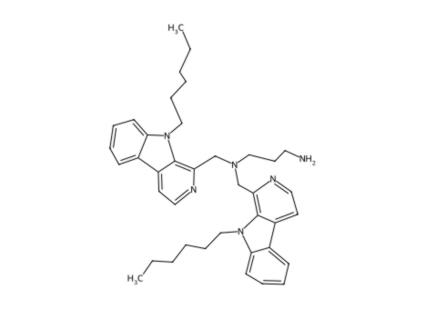 CCCCCCn1c2ccccc2c2ccnc(CN(CCCN)Cc3nccc4c5ccccc5n(CCCCCC)c34)c21